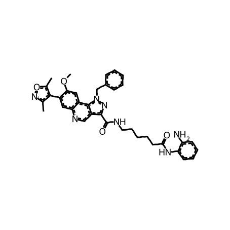 COc1cc2c(cc1-c1c(C)noc1C)ncc1c(C(=O)NCCCCCC(=O)Nc3ccccc3N)nn(Cc3ccccc3)c12